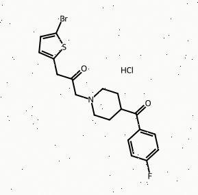 Cl.O=C(Cc1ccc(Br)s1)CN1CCC(C(=O)c2ccc(F)cc2)CC1